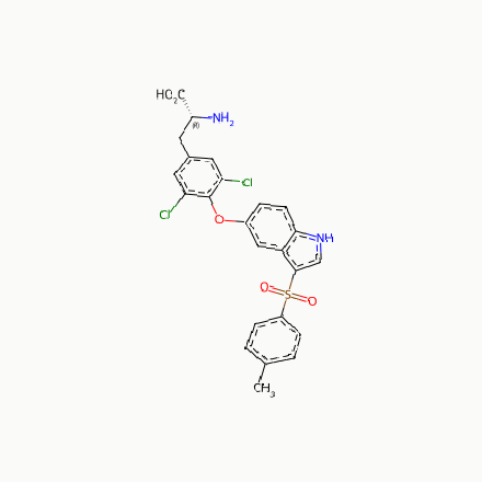 Cc1ccc(S(=O)(=O)c2c[nH]c3ccc(Oc4c(Cl)cc(C[C@@H](N)C(=O)O)cc4Cl)cc23)cc1